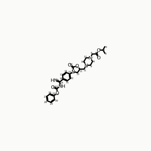 CC(C)OC(=O)CN1CCN(CC2CN(c3ccc(C(=N)NC(=O)Oc4ccccc4)cc3)C(=O)O2)CC1